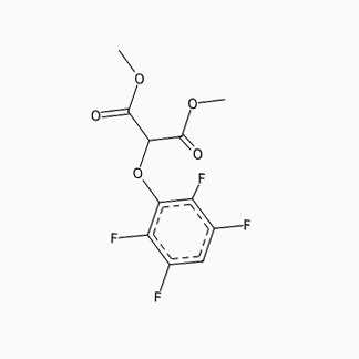 COC(=O)C(Oc1c(F)c(F)cc(F)c1F)C(=O)OC